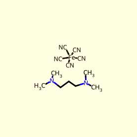 CN(C)CCCN(C)C.N#[C][Fe]([C]#N)([C]#N)([C]#N)[C]#N